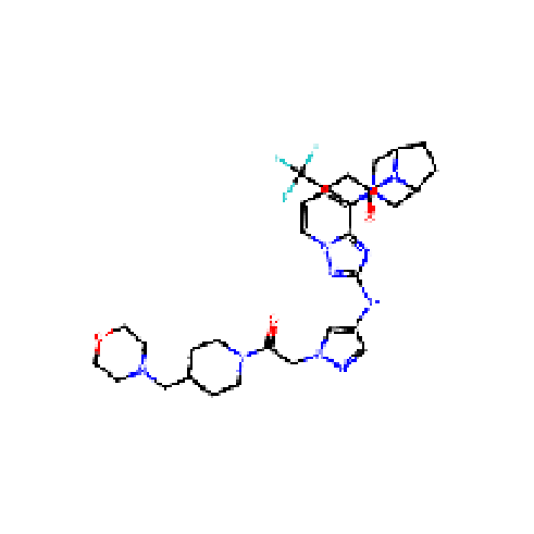 O=C(Cn1cc(Nc2nc3c(N4CC5CCC(C4)N5C(=O)CCC(F)(F)F)cccn3n2)cn1)N1CCC(CN2CCOCC2)CC1